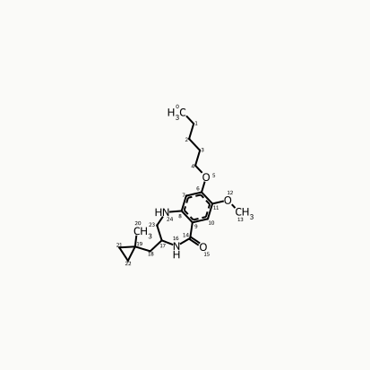 CCCCCOc1cc2c(cc1OC)C(=O)NC(CC1(C)CC1)CN2